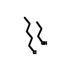 CCCCCCl.CCCO